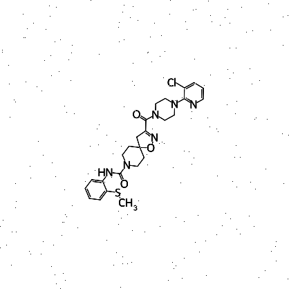 CSc1ccccc1NC(=O)N1CCC2(CC1)CC(C(=O)N1CCN(c3ncccc3Cl)CC1)=NO2